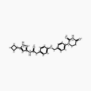 O=C1CCN(c2ccc(COc3ccc(CC(=O)Nc4cc(C5CCC5)[nH]n4)cc3)cc2)C(=O)N1